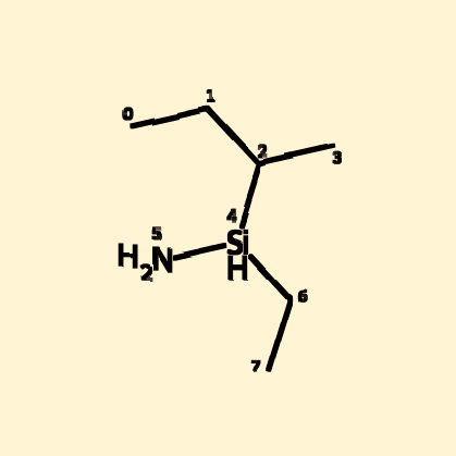 CCC(C)[SiH](N)CC